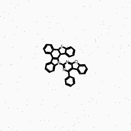 c1ccc(-c2nc(-n3c4c(c5ccccc53)-c3ccccc3C3Sc5ccccc5C43)nc3oc4ccccc4c23)cc1